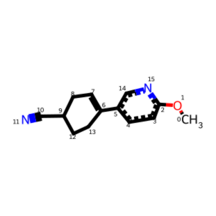 COc1ccc(C2=CCC(C#N)CC2)cn1